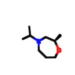 CC(C)N1CCCO[C@H](C)C1